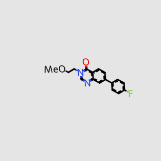 COCCn1cnc2cc(-c3ccc(F)cc3)ccc2c1=O